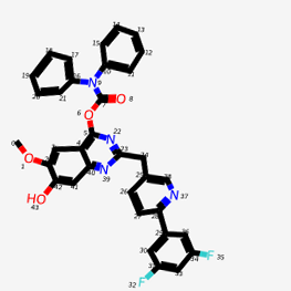 COc1cc2c(OC(=O)N(c3ccccc3)c3ccccc3)nc(Cc3ccc(-c4cc(F)cc(F)c4)nc3)nc2cc1O